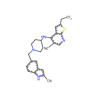 N#Cc1cc2cc(CN3CCC(Nc4c(C#N)cnc5sc(CC(F)(F)F)cc45)CC3)ccc2[nH]1